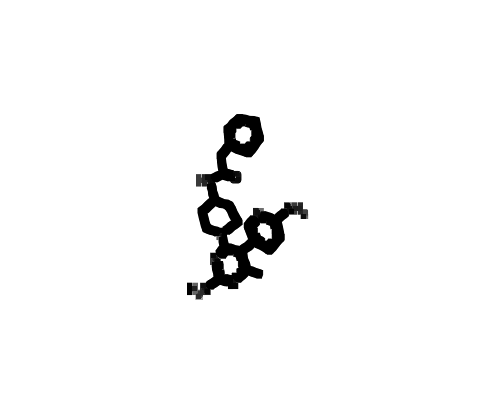 Cc1nc(N)nc(N2CCC(NC(=O)Cc3ccccc3)CC2)c1-c1ccc(N)nc1